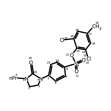 CCCN1CCN(c2ccc(S(=O)(=O)Oc3c(Cl)cc(C)cc3Cl)cc2)C1=O